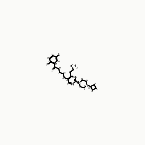 CCCc1nc(N2CCN(C3CCC3)CC2)ncc1CCCCC(=O)c1cc(F)ccc1F